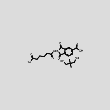 CC(C)(CO)CO.O=C(O)CCCCC(=O)O.O=C(O)c1ccc2c(c1)C(=O)OC2=O